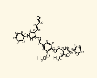 COc1cc(COc2nn(-c3ccccc3)cc2C=CC=O)ccc1OCc1nc(-c2ccco2)oc1C